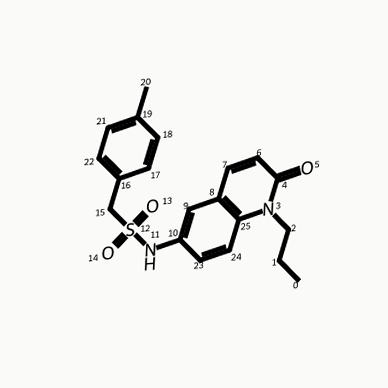 CCCn1c(=O)ccc2cc(NS(=O)(=O)Cc3ccc(C)cc3)ccc21